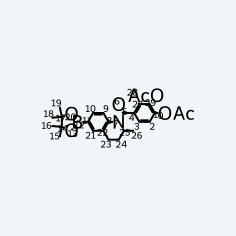 CC(=O)Oc1ccc(C(=O)N2c3ccc(B4OC(C)(C)C(C)(C)O4)cc3CCC2C)c(OC(C)=O)c1